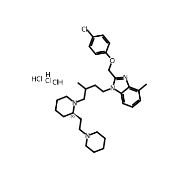 Cc1cccc2c1nc(COc1ccc(Cl)cc1)n2CCC(C)CN1CCCC[C@@H]1CCN1CCCCC1.Cl.Cl.Cl